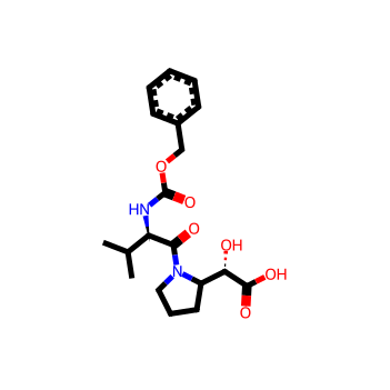 CC(C)[C@@H](NC(=O)OCc1ccccc1)C(=O)N1CCCC1[C@H](O)C(=O)O